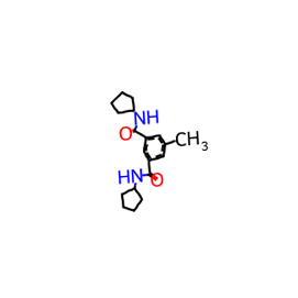 Cc1cc(C(=O)NC2CCCC2)cc(C(=O)NC2CCCC2)c1